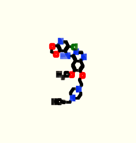 C#CCN1CCN(CCOc2cc3ncnc(Nc4c(Cl)cnc5c4OCO5)c3cc2OC)CC1